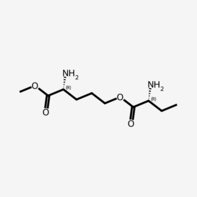 CC[C@@H](N)C(=O)OCCC[C@@H](N)C(=O)OC